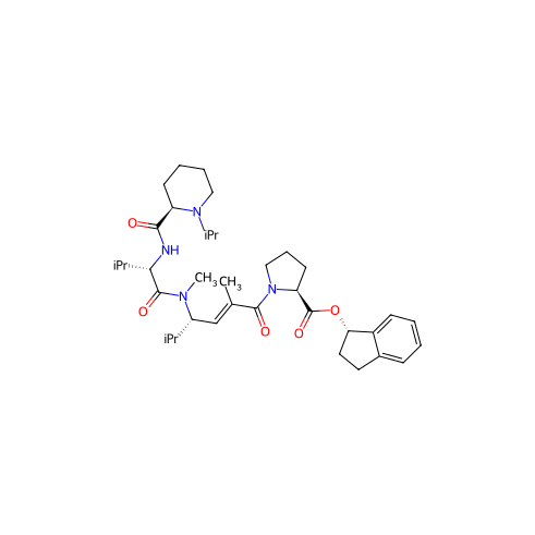 C/C(=C\[C@H](C(C)C)N(C)C(=O)[C@@H](NC(=O)[C@H]1CCCCN1C(C)C)C(C)C)C(=O)N1CCC[C@H]1C(=O)O[C@H]1CCc2ccccc21